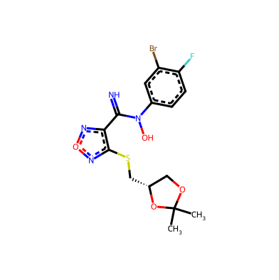 CC1(C)OC[C@@H](CSc2nonc2C(=N)N(O)c2ccc(F)c(Br)c2)O1